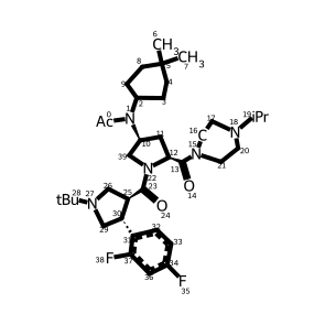 CC(=O)N(C1CCC(C)(C)CC1)[C@H]1C[C@@H](C(=O)N2CCN(C(C)C)CC2)N(C(=O)[C@@H]2CN(C(C)(C)C)C[C@H]2c2ccc(F)cc2F)C1